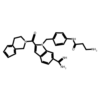 N=C(N)c1ccc2cc(C(=O)N3CCc4ccccc4C3)n(Cc3ccc(NC(=O)CCN)cc3)c2c1